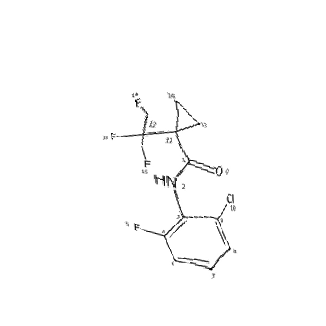 O=C(Nc1c(F)cccc1Cl)C1(C(F)(F)F)CC1